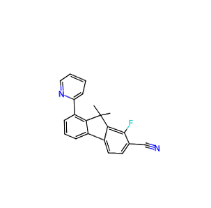 CC1(C)c2c(-c3ccccn3)cccc2-c2ccc(C#N)c(F)c21